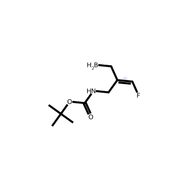 BC/C(=C/F)CNC(=O)OC(C)(C)C